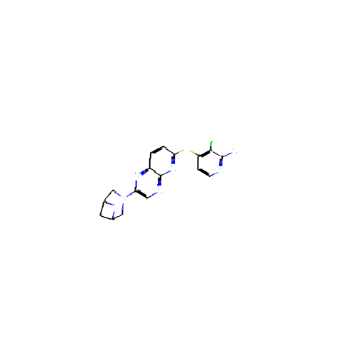 Nc1nccc(Sc2ccc3nc(N4CC5C[C@@H](C4)N5)cnc3n2)c1Cl